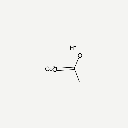 CC(=O)[O-].[Co+2].[H+]